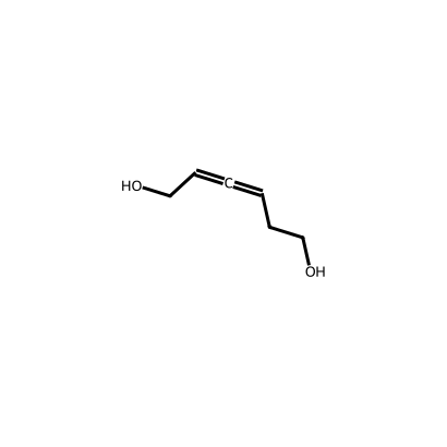 OCC=C=CCCO